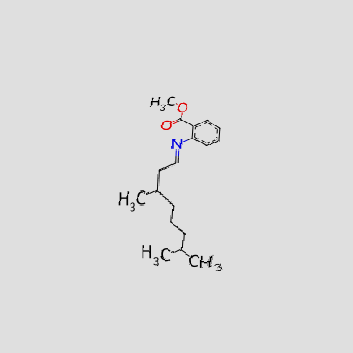 COC(=O)c1ccccc1N=CCC(C)CCCC(C)C